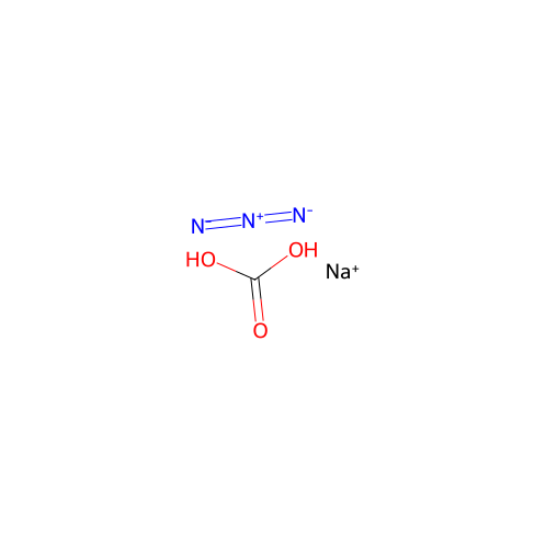 O=C(O)O.[N-]=[N+]=[N-].[Na+]